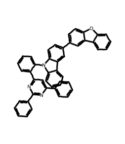 c1ccc(-c2cc(-c3ccccc3-n3c4ccccc4c4cc(-c5ccc6oc7ccccc7c6c5)ccc43)nc(-c3ccccc3)n2)cc1